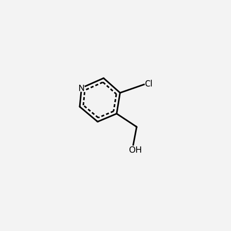 OCc1ccncc1Cl